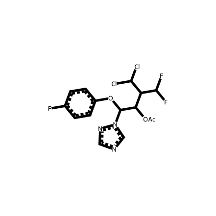 CC(=O)OC(C(C(F)F)C(Cl)Cl)C(Oc1ccc(F)cc1)n1cncn1